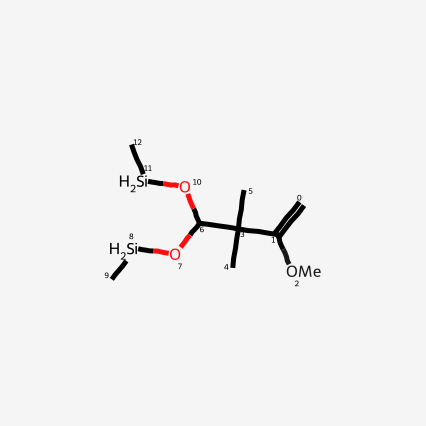 C=C(OC)C(C)(C)C(O[SiH2]C)O[SiH2]C